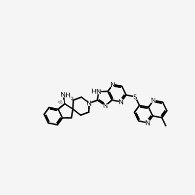 Cc1ccnc2c(Sc3cnc4[nH]c(N5CCC6(CC5)Cc5ccccc5[C@H]6N)nc4n3)ccnc12